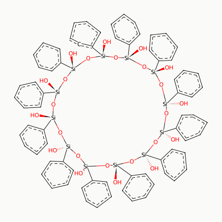 O[Si@]1(c2ccccc2)O[Si@](O)(c2ccccc2)O[Si@@](O)(c2ccccc2)O[Si@@](O)(c2ccccc2)O[Si@](O)(c2ccccc2)O[Si@](O)(c2ccccc2)O[Si@](O)(c2ccccc2)O[Si@@](O)(c2ccccc2)O[Si@@](O)(c2ccccc2)O[Si@@](O)(c2ccccc2)O[Si@@](O)(c2ccccc2)O[Si@@](O)(c2ccccc2)O1